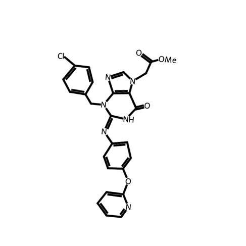 COC(=O)Cn1cnc2c1c(=O)[nH]/c(=N\c1ccc(Oc3ccccn3)cc1)n2Cc1ccc(Cl)cc1